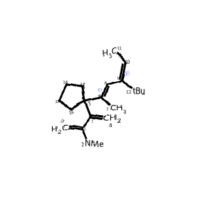 C=C(NC)C(=C)C1(/C(C)=C/C(=C\C)C(C)(C)C)CCCC1